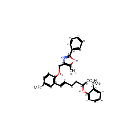 COc1ccc(OCc2nc(-c3ccccc3)oc2C)c(/C=C/CCC(Oc2ccccc2OC)C(=O)O)c1